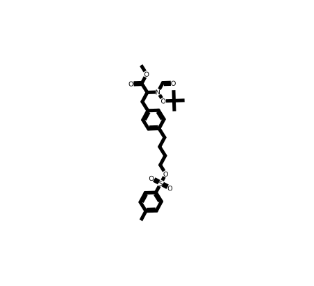 COC(=O)C(Cc1ccc(CCCCOS(=O)(=O)c2ccc(C)cc2)cc1)N(C=O)OC(C)(C)C